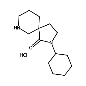 Cl.O=C1N(C2CCCCC2)CCC12CCCNC2